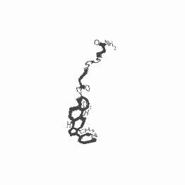 C[C@]12CC[C@H](OC(=O)CCSSCCC(N)=O)CC1=CC[C@H]1C3CC=C(c4cccnc4)[C@@]3(C)CC[C@@H]12